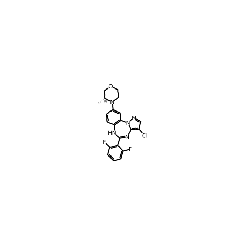 C[C@@H]1COCCN1c1ccc2c(c1)-n1ncc(Cl)c1N=C(c1c(F)cccc1F)N2